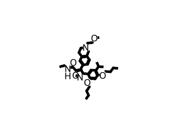 CCCCOc1cc(OCCCC)c(C(C)C)cc1-c1noc(C(=O)NCC)c1-c1ccc2c(c1)CCN(CCOC)C2